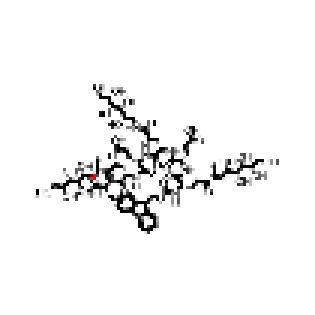 O=C(O)CC[C@H](NC(=O)[C@H](CCC(=O)NC[C@H](O)[C@@H](O)[C@H](O)[C@H](O)CO)NC(=O)OCC1c2ccccc2-c2ccccc21)C(=O)N[C@@H](CCC(=O)NC[C@H](O)[C@@H](O)[C@H](O)[C@H](O)CO)C(=O)N[C@@H](CCC(=O)O)C(=O)N[C@@H](CCC(=O)NC[C@H](O)[C@@H](O)[C@H](O)[C@H](O)CO)C(=O)N[C@@H](CS)C(=O)O